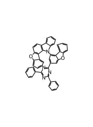 c1ccc(-c2nc(-c3ccccc3)nc(-c3cc(-n4c5ccccc5c5ccc6oc7ccccc7c6c54)c4c(c3)oc3ccccc34)n2)cc1